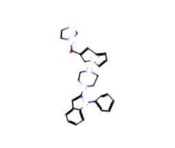 O=C(C1=CC2=CC=C[N@@+]2(N2CCN(c3cc4ccccc4n3-c3ccccc3)CC2)C1)N1CCSC1